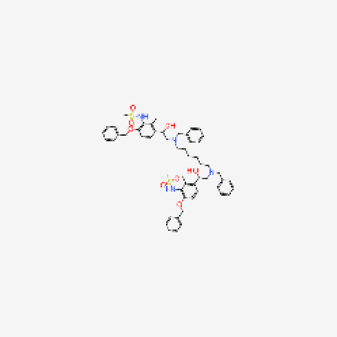 Cc1c(C(O)CN(CCCCCCN(Cc2ccccc2)CC(O)c2ccc(OCc3ccccc3)c(NS(C)(=O)=O)c2C)Cc2ccccc2)ccc(OCc2ccccc2)c1NS(C)(=O)=O